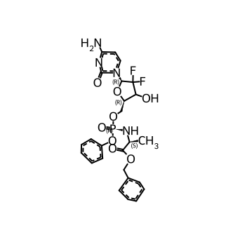 C[C@H](N[P@@](=O)(OC[C@H]1O[C@@H](n2ccc(N)nc2=O)C(F)(F)C1O)Oc1ccccc1)C(=O)OCc1ccccc1